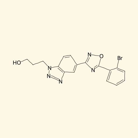 OCCCn1nnc2cc(-c3noc(-c4ccccc4Br)n3)ccc21